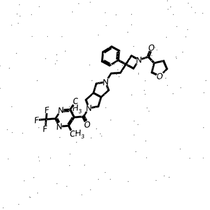 Cc1nc(C(F)(F)F)nc(C)c1C(=O)N1CC2CN(CCC3(c4ccccc4)CN(C(=O)C4CCOC4)C3)CC2C1